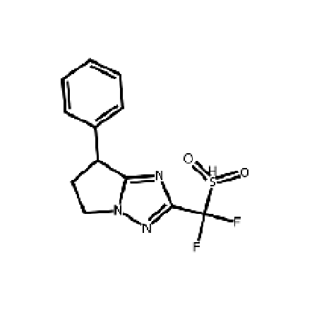 O=[SH](=O)C(F)(F)c1nc2n(n1)CCC2c1ccccc1